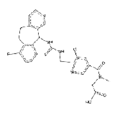 CN(CC(=O)O)C(=O)c1cnc(CNC(=S)NC2c3cnccc3CCc3c(F)cccc32)c(Cl)c1